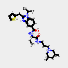 CCC(CC)n1c(Cc2cccs2)nc2cc(C(=O)N[C@@H](CC(C)C)C(=O)NCCCN3CC(C)CC(C)C3)ccc21